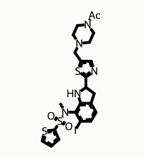 CC(=O)N1CCN(Cc2cnc(C3Cc4ccc(I)c(N(C)S(=O)(=O)c5cccs5)c4N3)s2)CC1